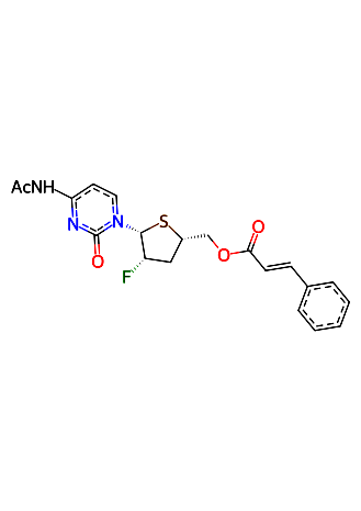 CC(=O)Nc1ccn([C@@H]2S[C@H](COC(=O)/C=C/c3ccccc3)C[C@@H]2F)c(=O)n1